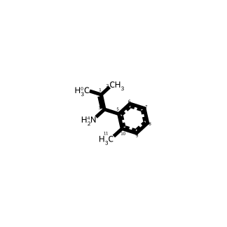 CC(C)=C(N)c1ccccc1C